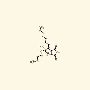 CCCCCCCC(C1CC(=O)OC1=O)[Si](C)(C)OCCCC